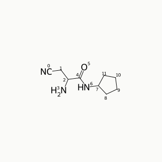 N#CCC(N)C(=O)NC1CCCC1